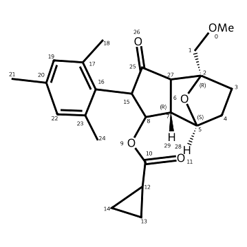 COC[C@]12CC[C@H](O1)[C@@H]1C(OC(=O)C3CC3)C(c3c(C)cc(C)cc3C)C(=O)C12